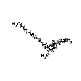 CCCCCCCCCOCCCOCCCCNc1cc(C(=O)NCCCSC)ccc1SCC